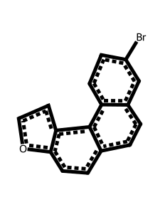 Brc1ccc2c(ccc3ccc4occc4c32)c1